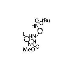 COC(=O)c1nc(NCc2cccc(NC(=O)OC(C)(C)C)c2)c2cc(I)ccc2n1